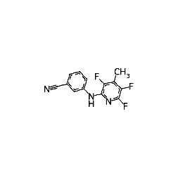 Cc1c(F)c(F)nc(Nc2cccc(C#N)c2)c1F